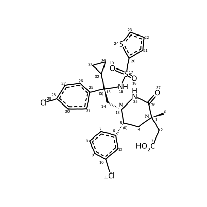 C[C@@]1(CC(=O)O)C[C@H](c2cccc(Cl)c2)[C@H](C[C@@](NS(=O)(=O)c2cccs2)(c2ccc(Cl)cc2)C2CC2)NC1=O